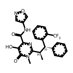 C[C@@H](c1nc(C(=O)Nc2cnoc2)c(O)c(=O)n1C)[C@@H](c1ccccc1)c1ccccc1C(F)(F)F